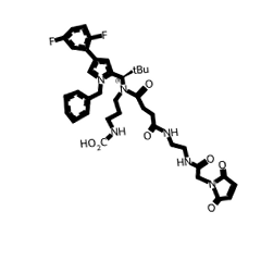 CC(C)(C)[C@H](c1cc(-c2cc(F)ccc2F)cn1Cc1ccccc1)N(CCCNC(=O)O)C(=O)CCC(=O)NCCNC(=O)CN1C(=O)C=CC1=O